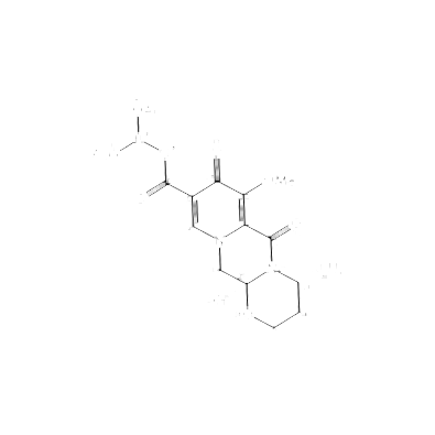 COc1c2n(cc(C(=O)OB(OC(C)=O)OC(C)=O)c1=O)C[C@@H]1OCC[C@@H](C)N1C2=O